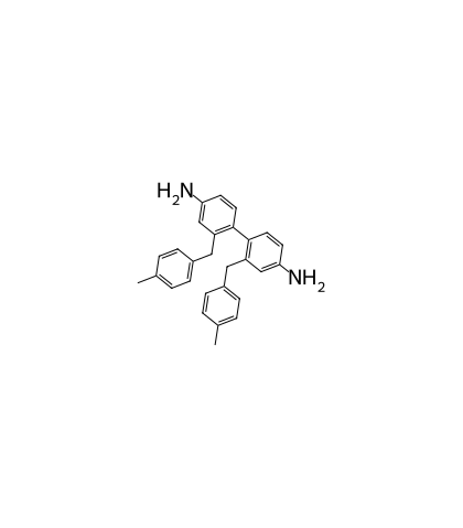 Cc1ccc(Cc2cc(N)ccc2-c2ccc(N)cc2Cc2ccc(C)cc2)cc1